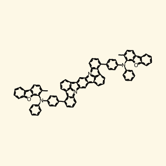 Cc1ccc2c(oc3ccccc32)c1N(c1ccccc1)c1ccc(-c2cccc3c2c2cccc4c5cc6c(cc5n3c42)c2cccc3c4c(-c5ccc(N(c7ccccc7)c7c(C)ccc8c7oc7ccccc78)cc5)cccc4n6c23)cc1